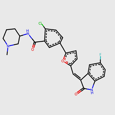 CN1CCCC(NC(=O)c2cc(-c3ccc(/C=C4/C(=O)Nc5ccc(F)cc54)o3)ccc2Cl)C1